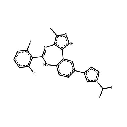 Cc1n[nH]c2c1N=C(c1c(F)cccc1F)Nc1ccc(-c3cnn(C(F)F)c3)cc1-2